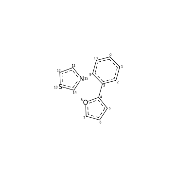 c1ccc(-c2ccco2)cc1.c1cscn1